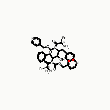 CC(C)[C@H](N)C(=O)N(C(=O)OCc1ccncc1)C(Cc1ccccc1)C(O)C(Cc1ccccc1)N(C(=O)OCc1ccncc1)C(=O)[C@@H](N)C(C)C